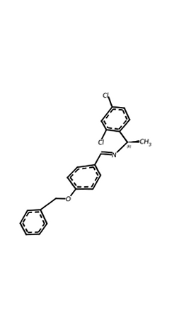 C[C@@H](N=Cc1ccc(OCc2ccccc2)cc1)c1ccc(Cl)cc1Cl